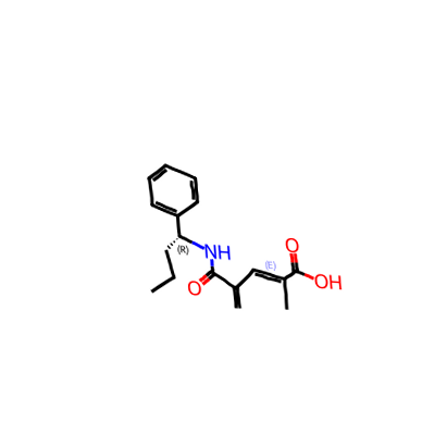 C=C(/C=C(\C)C(=O)O)C(=O)N[C@H](CCC)c1ccccc1